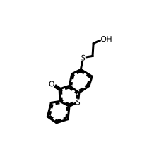 O=c1c2ccccc2sc2ccc(SCCO)cc12